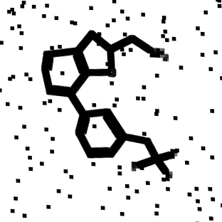 NCC1Cc2cccc(-c3cccc(CC(F)(F)F)c3)c2O1